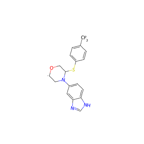 FC(F)(F)c1ccc(SC2CO[CH]CN2c2ccc3[nH]cnc3c2)cc1